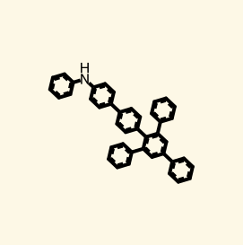 c1ccc(Nc2ccc(-c3ccc(-c4c(-c5ccccc5)cc(-c5ccccc5)cc4-c4ccccc4)cc3)cc2)cc1